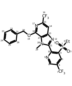 CCS(=O)(=O)c1cc(C(F)(F)F)cnc1-c1nc2cc(C(F)(F)F)nc(OCc3ccccc3)c2n1C